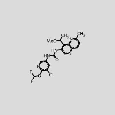 COC(C)c1c(NC(=O)Nc2cnc(OC(F)F)c(Cl)c2)cnc2ccc(C)nc12